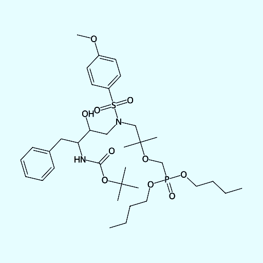 CCCCOP(=O)(COC(C)(C)CN(CC(O)C(Cc1ccccc1)NC(=O)OC(C)(C)C)S(=O)(=O)c1ccc(OC)cc1)OCCCC